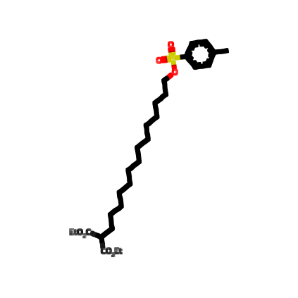 CCOC(=O)C(CCCCCCCCCCCCCCOS(=O)(=O)c1ccc(C)cc1)C(=O)OCC